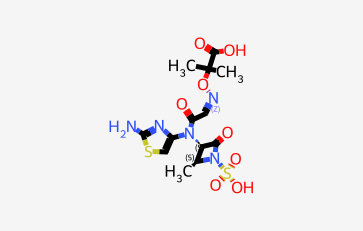 C[C@H]1[C@H](N(C(=O)/C=N\OC(C)(C)C(=O)O)c2csc(N)n2)C(=O)N1S(=O)(=O)O